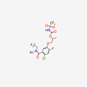 CC(=O)N(CC(F)(F)F)C(=O)c1cc(OCC(C)OC(=O)NS(=O)(=O)C(F)(F)F)c(F)cc1Cl